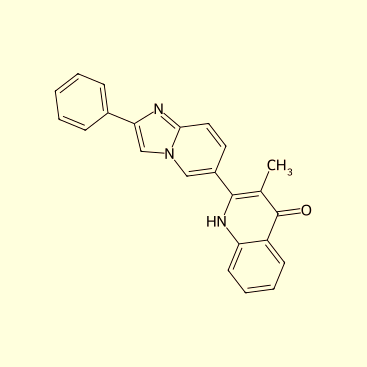 Cc1c(-c2ccc3nc(-c4ccccc4)cn3c2)[nH]c2ccccc2c1=O